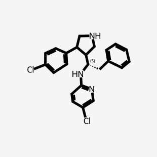 Clc1ccc(C2CNCC2[C@H](Cc2ccccc2)Nc2ccc(Cl)cn2)cc1